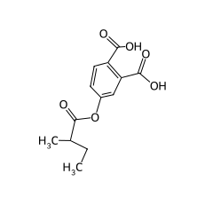 CCC(C)C(=O)Oc1ccc(C(=O)O)c(C(=O)O)c1